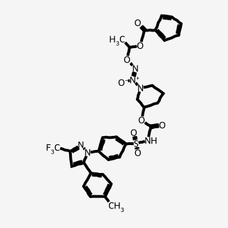 Cc1ccc(-c2cc(C(F)(F)F)nn2-c2ccc(S(=O)(=O)NC(=O)OC3CCCN([N+]([O-])=NOC(C)OC(=O)c4ccccc4)C3)cc2)cc1